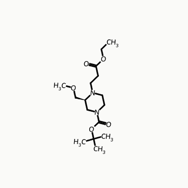 CCOC(=O)CCN1CCN(C(=O)OC(C)(C)C)C[C@H]1COC